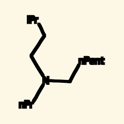 [CH2]CCN(CCCCCC)CCC(C)C